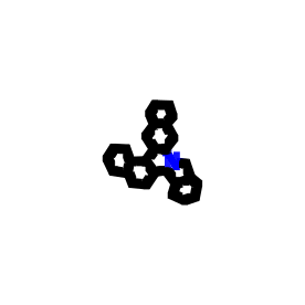 c1ccc2cc3c(cc2c1)c1c2ccccc2ccc1c1c2ccccc2cn31